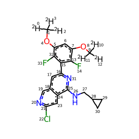 [2H]C([2H])([2H])Oc1cc(OC([2H])([2H])[2H])c(F)c(-c2cc3cnc(Cl)cc3c(NCC3CC3)n2)c1F